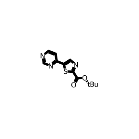 CC(C)(C)OC(=O)c1ncc(-c2ccncn2)s1